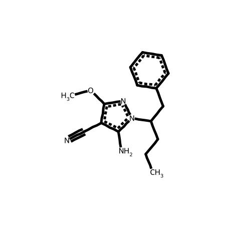 CCCC(Cc1ccccc1)n1nc(OC)c(C#N)c1N